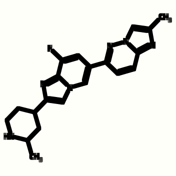 Cc1cn2nc(-c3cc(F)c4nc(C5CCNC(C)C5)cn4c3)ccc2n1